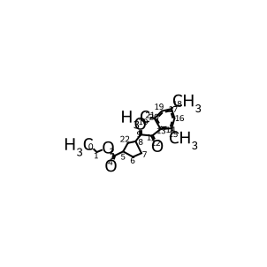 CCOC(=O)C1CCC(C(=O)C(=O)c2c(C)cc(C)cc2C)C1